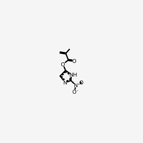 C=C(C)C(=O)Oc1cnc([N+](=O)[O-])[nH]1